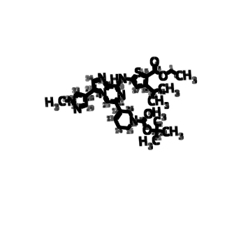 CCOC(=O)c1sc(Nc2nc(C3=CCCN(C(=O)OC(C)(C)C)C3)cn3c(-c4cnn(C)c4)cnc23)cc1C(C)C